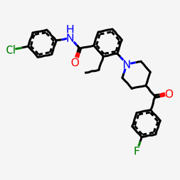 CCc1c(C(=O)Nc2ccc(Cl)cc2)cccc1N1CCC(C(=O)c2ccc(F)cc2)CC1